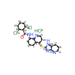 Cl.O=C(Nc1cccc2c(Sc3nc4ncccc4[nH]3)ccnc12)c1c(Cl)cccc1Cl